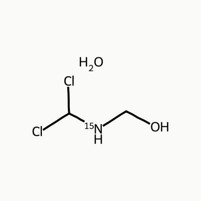 O.OC[15NH]C(Cl)Cl